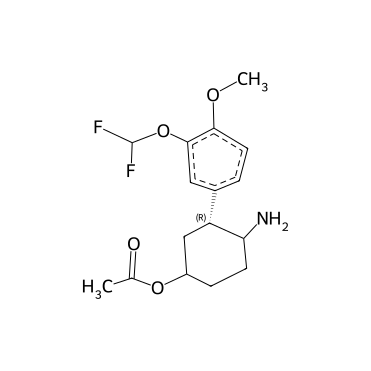 COc1ccc([C@H]2CC(OC(C)=O)CCC2N)cc1OC(F)F